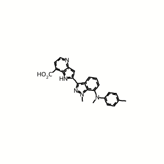 Cc1ccc(N(C)c2cccc3c(-c4cc5nccc(C(=O)O)c5[nH]4)nn(C)c23)cc1